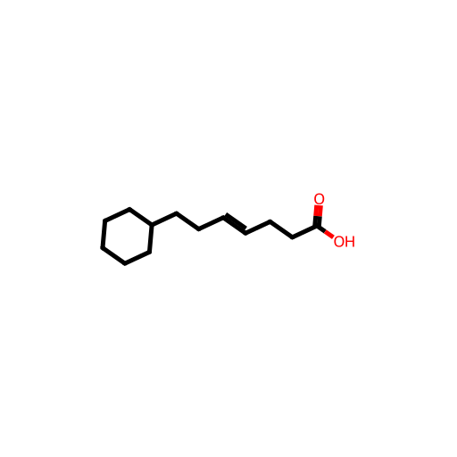 O=C(O)CCC=CCCC1CCCCC1